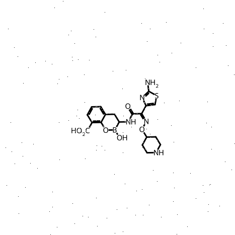 Nc1nc(C(=NOC2CCNCC2)C(=O)NC2Cc3cccc(C(=O)O)c3OB2O)cs1